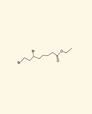 CCOC(=O)CCCCC(Br)CCBr